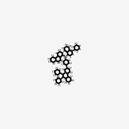 c1ccc(-c2ccc(N(c3ccc(-c4ccc5c(c4)c(-c4ccccc4)c(-c4ccccc4)c4ccccc45)cc3)c3cccc4c3ccc3ccccc34)c3ccccc23)cc1